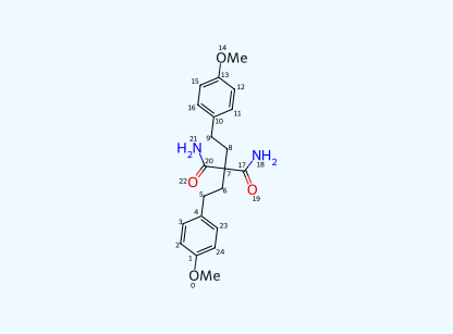 COc1ccc(CCC(CCc2ccc(OC)cc2)(C(N)=O)C(N)=O)cc1